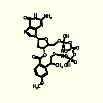 COc1ccc(C(=O)O[C@@H]2C[C@H](n3cnc4c(=O)[nH]c(N)nc43)OC2COP(=O)(O)OP(=O)(O)OP(=O)(O)O)c(C(C)SSC)c1